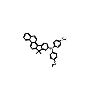 CC1(C)c2cc(N(c3ccc(SI)cc3)c3ccc(SI)cc3)ccc2-c2c1ccc1c2ccc2ccccc21